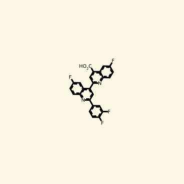 O=C(O)c1cc(-c2cc(-c3ccc(F)c(F)c3)nc3ccc(F)cc23)nc2ccc(F)cc12